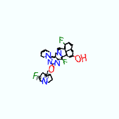 C#Cc1c(F)ccc2cc(O)cc(-c3ncc4c(N5CC=CCC5)nc(OC[C@@]56CCCN5C[C@H](F)C6)nc4c3F)c12